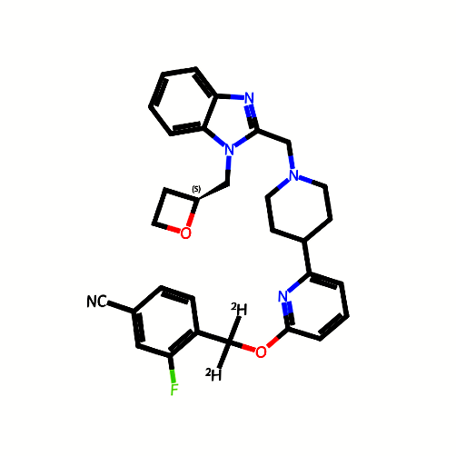 [2H]C([2H])(Oc1cccc(C2CCN(Cc3nc4ccccc4n3C[C@@H]3CCO3)CC2)n1)c1ccc(C#N)cc1F